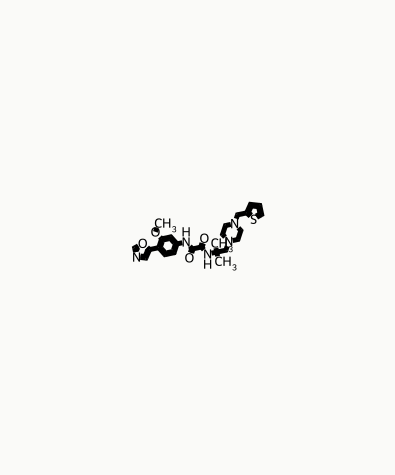 COc1cc(NC(=O)C(=O)NC(C)(C)CN2CCN(Cc3cccs3)CC2)ccc1-c1cnco1